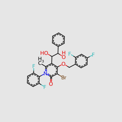 Cc1c(C(O)C(O)c2ccccc2)c(OCc2ccc(F)cc2F)c(Br)c(=O)n1-c1c(F)cccc1F